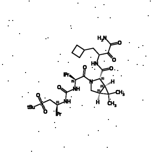 CC(C)[C@H](NC(=O)N[C@H](CS(=O)(=O)C(C)(C)C)C(C)C)C(=O)N1C[C@H]2[C@@H]([C@H]1C(=O)NC(CC1CCC1)C(=O)C(N)=O)C2(C)C